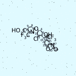 CC(c1ccc(Oc2ccc(C(=O)O)c(C(F)(F)F)n2)cc1Cl)C(O)(c1ccc2c(c1)N(C)C(=O)CO2)C(F)(F)F